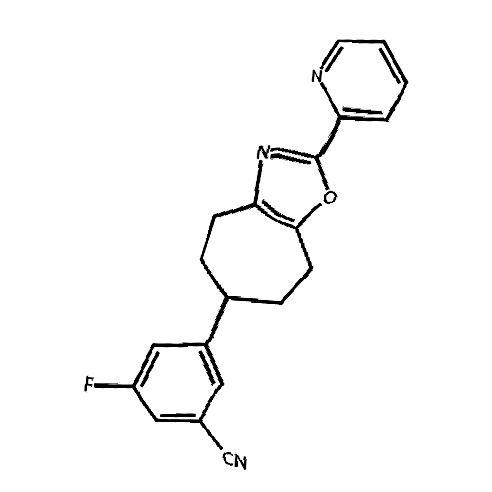 N#Cc1cc(F)cc(C2CCc3nc(-c4ccccn4)oc3CC2)c1